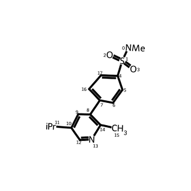 CNS(=O)(=O)c1ccc(-c2cc(C(C)C)cnc2C)cc1